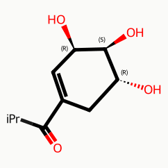 CC(C)C(=O)C1=C[C@@H](O)[C@@H](O)[C@H](O)C1